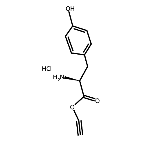 C#COC(=O)[C@@H](N)Cc1ccc(O)cc1.Cl